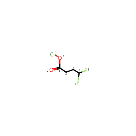 O=C(CCC(F)F)OCl